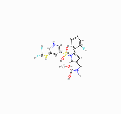 CN(Cc1cc(-c2ccccc2F)n(S(=O)(=O)c2cncc(SC(F)F)c2)c1)C(=O)OC(C)(C)C